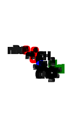 CCCCOCC(=O)OC(C)n1cc(C#N)c(-c2cccc(Cl)c2Cl)c1